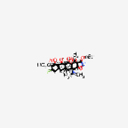 C=C1c2c(OCCCC)noc2[C@@H](N(C)C)[C@@H]2C[C@@H]3Cc4cc(F)c(C(=O)O)c(O)c4C(=O)C3=C(O)[C@]12O